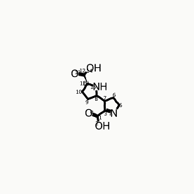 O=C(O)C1=NCCC1C1CC[C@@H](C(=O)O)N1